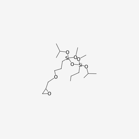 CCC[Si](OC)(OC(C)C)O[Si](CCCOCC1CO1)(OC)OC(C)C